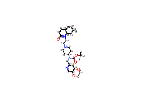 CC(C)(C)OC(=O)N(Cc1cc2c(cn1)OCCO2)C1CCN(CCn2c(=O)ccc3ccc(F)cc32)CC1